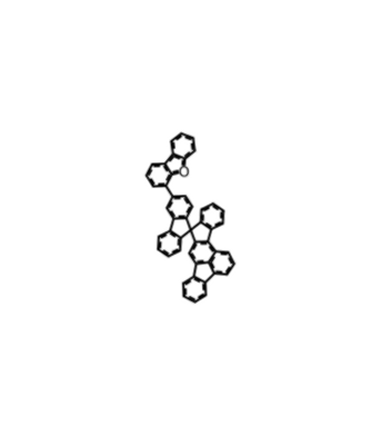 c1ccc2c(c1)-c1cccc3c4c(cc-2c13)C1(c2ccccc2-c2cc(-c3cccc5c3oc3ccccc35)ccc21)c1ccccc1-4